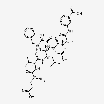 CC(C)C[C@H](NC(=O)[C@@H](NC(=O)[C@@H](N)CCC(=O)O)C(C)C)C(=O)N[C@@H](Cc1ccccc1)[C@@H](O)C(=O)N[C@@H](CC(=O)O)C(=O)N[C@@H](C)C(=O)Nc1cccc(C(=O)O)c1